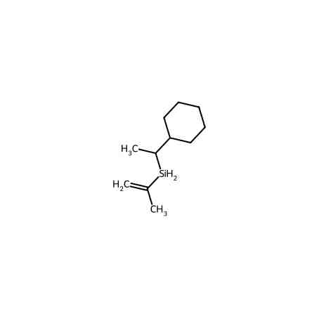 C=C(C)[SiH2]C(C)C1CCCCC1